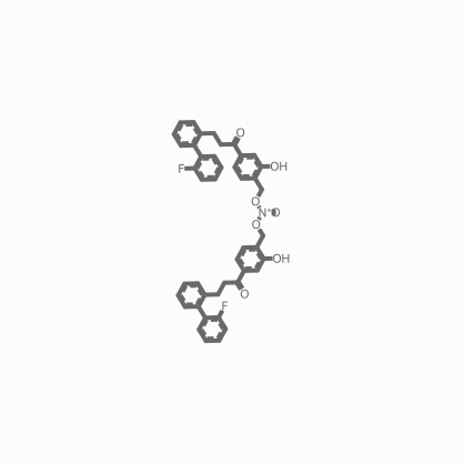 O=C(CCc1ccccc1-c1ccccc1F)c1ccc(CO[N+](=O)OCc2ccc(C(=O)CCc3ccccc3-c3ccccc3F)cc2O)c(O)c1